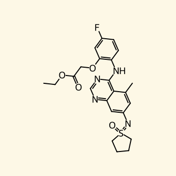 CCOC(=O)COc1cc(F)ccc1Nc1ncnc2cc(N=S3(=O)CCCC3)cc(C)c12